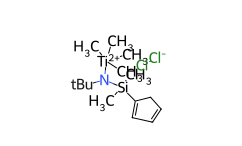 CC(C)(C)[N]([Si](C)(C)C1=CC=CC1)[Ti+2]([CH3])([CH3])([CH3])[CH3].[Cl-].[Cl-]